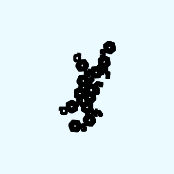 C=CC1=C(C=C)C2(c3ccccc3O1)c1cc(N(c3ccc(OC)cc3)c3ccc4c(c3)c3cc(Sc5ccccc5)ccc3n4CC)ccc1-c1ccc(N(c3ccc(OC)cc3)c3ccc4c(c3)c3cc(Sc5ccccc5)ccc3n4CC)cc12